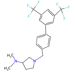 CN(C)C1CCN(Cc2ccc(-c3cc(C(F)(F)F)cc(C(F)(F)F)c3)cc2)C1